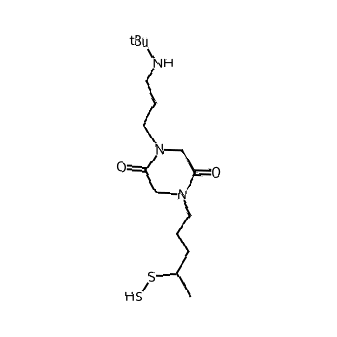 CC(CCCN1CC(=O)N(CCCNC(C)(C)C)CC1=O)SS